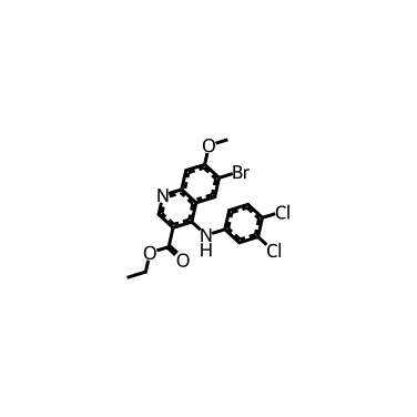 CCOC(=O)c1cnc2cc(OC)c(Br)cc2c1Nc1ccc(Cl)c(Cl)c1